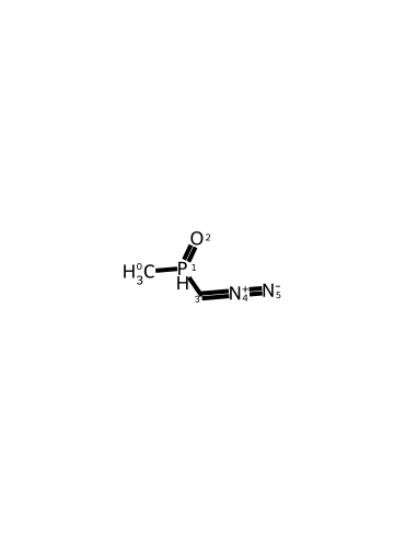 C[PH](=O)C=[N+]=[N-]